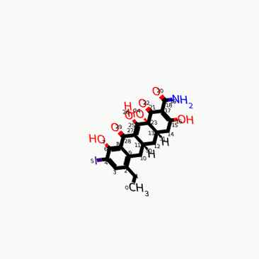 CCc1cc(I)c(O)c2c1C[C@H]1C[C@H]3CC(O)=C(C(N)=O)C(=O)[C@@]3(O)C(O)=C1C2=O